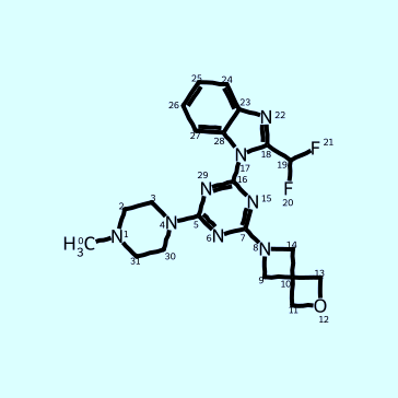 CN1CCN(c2nc(N3CC4(COC4)C3)nc(-n3c(C(F)F)nc4ccccc43)n2)CC1